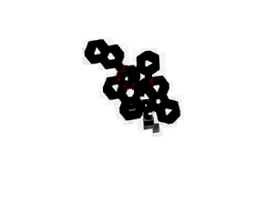 CC1(C)c2ccccc2-c2cccc(N(c3ccc(-c4ccc5ccccc5c4)cc3)c3ccccc3-c3cccc4oc5c6ccccc6ccc5c34)c21